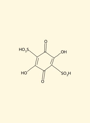 O=C1C(O)=C(S(=O)(=O)O)C(=O)C(O)=C1S(=O)(=O)O